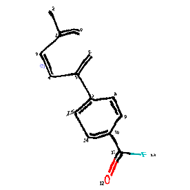 C=C(C)/C=C\C(=C)c1ccc(C(=O)F)cc1